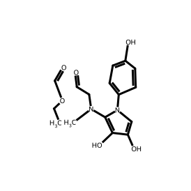 CCOC=O.CN(CC=O)c1c(O)c(O)cn1-c1ccc(O)cc1